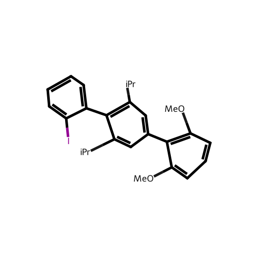 COc1cccc(OC)c1-c1cc(C(C)C)c(-c2ccccc2I)c(C(C)C)c1